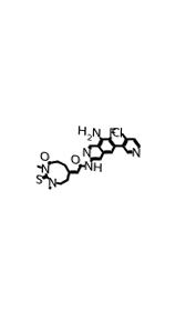 CN1CC/C(=C/C(=O)Nc2cc3cc(-c4cnccc4Cl)c(F)c(N)c3cn2)CCC(=O)N(C)C1=S